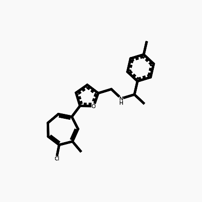 CC1=CC(c2ccc(CNC(C)c3ccc(C)cc3)o2)=CCC=C1Cl